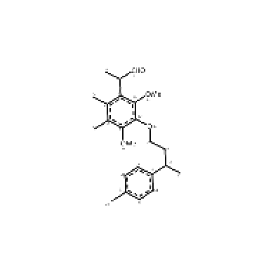 COc1c(C)c(C)c(C(C)C=O)c(OC)c1OCCC(C)c1ccc(F)cc1